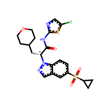 O=C(Nc1ncc(Cl)s1)[C@@H](CC1CCOCC1)n1ncc2cc(S(=O)(=O)C3CC3)ccc21